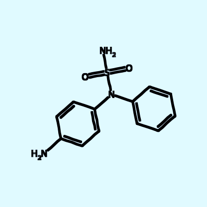 Nc1ccc(N(c2ccccc2)S(N)(=O)=O)cc1